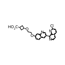 O=C(O)[C@H]1C[C@@H](OCCOc2ccc3cc(-c4nccc5ccc(Cl)nc45)cnc3c2)C1